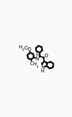 COc1ccc(C)c(NC(C(=O)c2c[nH]c3ccccc23)c2ccccc2)c1